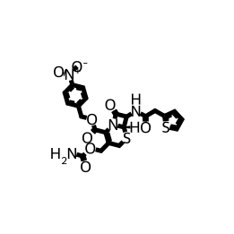 NC(=O)OCC1=C(C(=O)OCc2ccc([N+](=O)[O-])cc2)N2C(=O)C(NC(=O)Cc3cccs3)[C@@H]2SC1